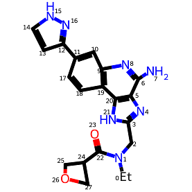 CCN(Cc1nc2c(N)nc3cc(-c4cc[nH]n4)ccc3c2[nH]1)C(=O)C1COC1